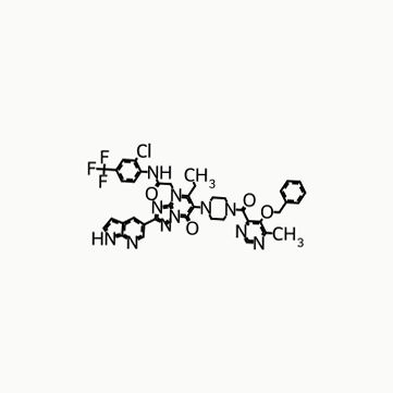 CCc1c(N2CCN(C(=O)c3ncnc(C)c3OCc3ccccc3)CC2)c(=O)n2nc(-c3cnc4[nH]ccc4c3)nc2n1CC(=O)Nc1ccc(C(F)(F)F)cc1Cl